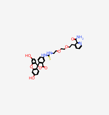 NC(=O)c1ncccc1CCOCCOCCNC(=S)Nc1ccc2c(c1)C(=O)OC21c2ccc(O)cc2Oc2cc(O)ccc21